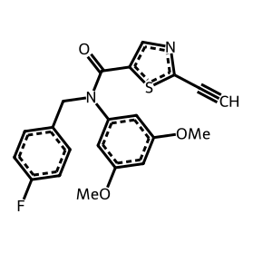 C#Cc1ncc(C(=O)N(Cc2ccc(F)cc2)c2cc(OC)cc(OC)c2)s1